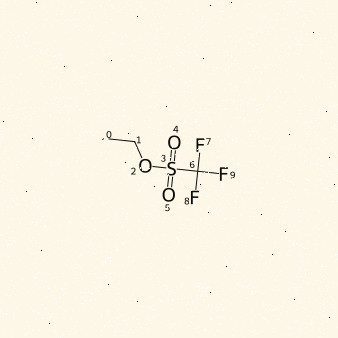 [CH2]COS(=O)(=O)C(F)(F)F